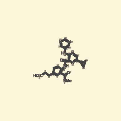 CNC(=O)c1cc(CCC(=O)O)ccc1NC(=O)c1nc(C2CC2)cnc1Nc1cncnc1